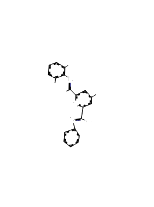 C/C(=N\c1ccccc1)c1cc(C)cc(/C(C)=N/c2c(C)cccc2C)n1